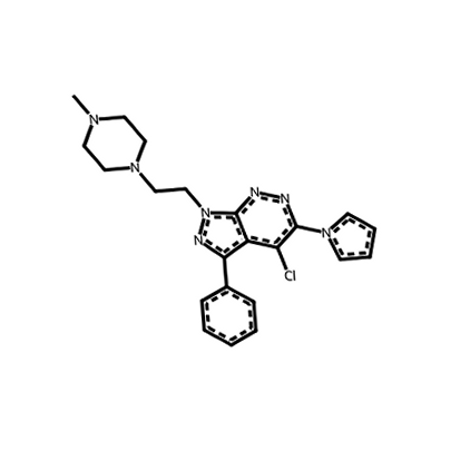 CN1CCN(CCn2nc(-c3ccccc3)c3c(Cl)c(-n4cccc4)nnc32)CC1